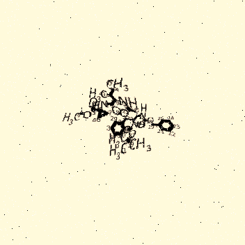 CCOC(=O)C1(NC(=O)[C@@H](NC(=O)C[C@H](NC(=O)OCc2ccccc2)[C@H](Cc2ccccc2)NC(=O)OC(C)(C)C)[C@@H](C)CC)CC1